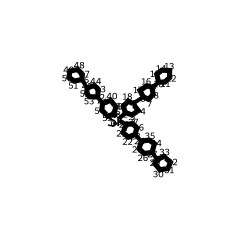 C[Si](c1ccc(-c2ccc(-c3ccccc3)cc2)cc1)(c1ccc(-c2ccc(-c3ccccc3)cc2)cc1)c1ccc(-c2ccc(-c3ccccc3)cc2)cc1